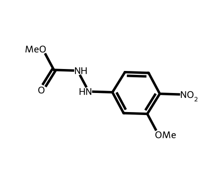 COC(=O)NNc1ccc([N+](=O)[O-])c(OC)c1